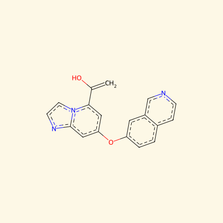 C=C(O)c1cc(Oc2ccc3ccncc3c2)cc2nccn12